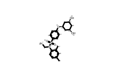 Cc1ccc(N(CC(C)C)S(=O)(=O)c2ccc(O[C@@H]3C[C@H](O)C[C@H](O)C3)cc2)c(C)c1